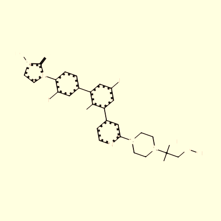 COCC(C)(C)N1CCN(c2cc(-c3cc(F)cc(-c4ccc(-n5ccn(C)c5=O)c(Cl)c4)c3O)ccn2)CC1